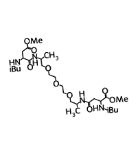 CCC(C)NC(CC(=O)OC)C(=O)NC(C)COCCOCCOCC(C)NC(=O)CC(NC(C)CC)C(=O)OC